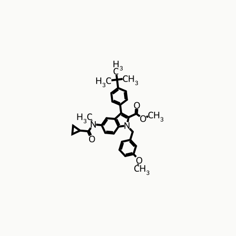 COC(=O)c1c(-c2ccc(C(C)(C)C)cc2)c2cc(N(C)C(=O)C3CC3)ccc2n1Cc1cccc(OC)c1